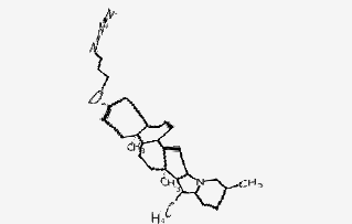 C[C@H]1CCC2[C@@H](C)C3C(CC4C5CC=C6C[C@@H](OCCCN=[N+]=[N-])CC[C@]6(C)C5CC[C@@]43C)N2C1